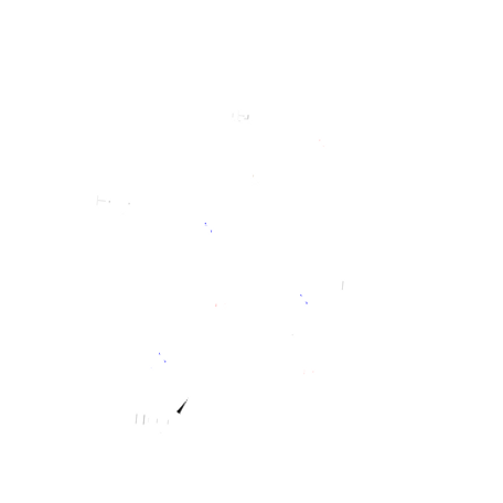 CCN(C(=O)CC[C@H](N)C(=O)O)[C@@H](CSC(=O)C(C)(C)C)C(=O)NCC(=O)O